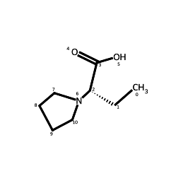 CC[C@@H](C(=O)O)N1CCCC1